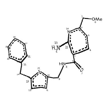 COCc1ccc(C(=O)NCc2ccc(Cc3ccccc3)s2)c(N)n1